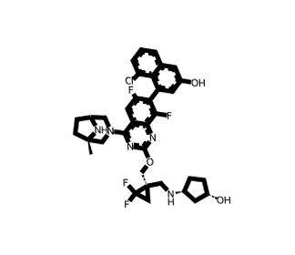 C[C@]12CCC(CN(c3nc(OC[C@]4(CN[C@@H]5CC[C@H](O)C5)CC4(F)F)nc4c(F)c(-c5cc(O)cc6cccc(Cl)c56)c(F)cc34)C1)N2